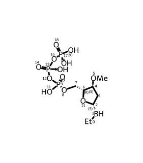 CCB[C@H]1C[C@H](OC)[C@@H](COP(=O)(O)OP(=O)(O)OP(=O)(O)O)O1